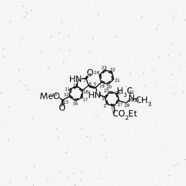 CCOC(=O)c1cc(NC(=C2C(=O)Nc3cc(C(=O)OC)ccc32)c2ccccc2)ccc1CN(C)C